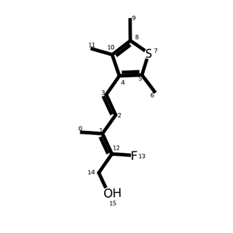 CC(/C=C/c1c(C)sc(C)c1C)=C(/F)CO